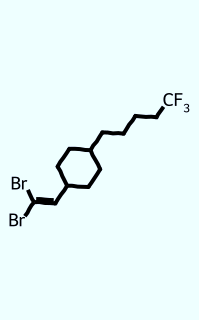 FC(F)(F)CCCCC1CCC(C=C(Br)Br)CC1